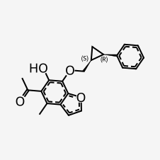 CC(=O)c1c(O)c(OC[C@H]2C[C@H]2c2ccccc2)c2occc2c1C